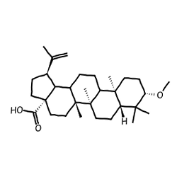 C=C(C)[C@@H]1CC[C@]2(C(=O)O)CC[C@]3(C)C(CCC4[C@@]5(C)CC[C@H](OC)C(C)(C)[C@@H]5CC[C@]43C)C12